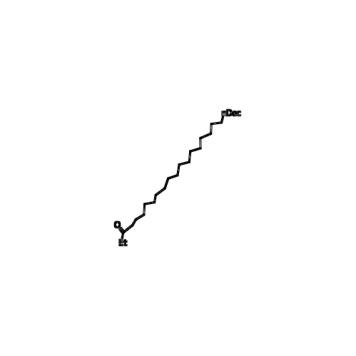 CCCCCCCCCCCCCCCCCCCCCCCCCCCC(=O)CC